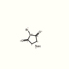 O=C1CCC(=O)N1Br.[NaH]